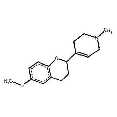 COc1ccc2c(c1)CCC(C1=CCN(C)CC1)O2